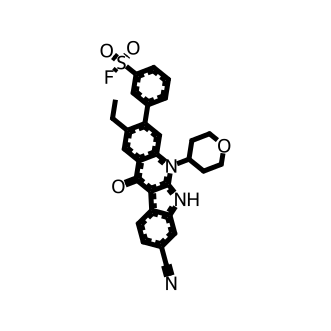 CCc1cc2c(=O)c3c4ccc(C#N)cc4[nH]c3n(C3CCOCC3)c2cc1-c1cccc(S(=O)(=O)F)c1